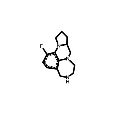 Fc1ccc2c3c1N1CCCC1CN3CCNC2